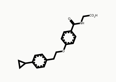 O=C(O)CNC(=O)c1ccc(OCCc2ccc(C3CC3)cc2)cc1